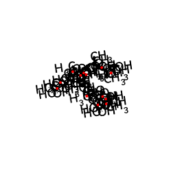 CC[C@H](C)[C@H](C[C@H](O)CC(=O)O[C@@H]1[C@H](OC(C)=O)[C@@H](O[C@@H]2O[C@@H](C)[C@H](OC3=C(O)[C@@H](O[C@@H]4OC[C@@H](O)[C@H](O)[C@H]4O)[C@H](O)CO3)[C@@H](O)[C@H]2O)[C@H](OC(=O)[C@]23CCC(C)(C)C[C@H]2C2=CC[C@@H]4[C@@]5(C)CC[C@H](O[C@@H]6O[C@H](C(=O)O)[C@@H](O)[C@H](O[C@@H]7O[C@@H](C)[C@H](O)[C@@H](O)[C@H]7O)[C@H]6O[C@@H]6O[C@H](CO)[C@H](O)[C@H](O)[C@H]6O)[C@@](C)(C=O)[C@@H]5CC[C@@]4(C)[C@]2(C)CC3)O[C@@H]1C)OC(=O)C[C@@H](O)C[C@H](O[C@@H]1O[C@@H](CO)[C@H](O)[C@H]1O)[C@@H](C)CC